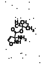 CC(C)(C)OC(=O)C1(N)C=CON1